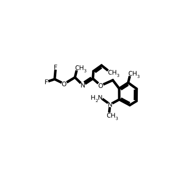 C/C=C\C(=N/C(C)OC(F)F)OCc1c(C)cccc1N(C)N